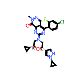 Cn1ncc2c(-c3ccc(Cl)cc3F)nc(N3C[C@@H](C4CC4)O[C@@H](c4cnn(C5CC5)c4)C3)nc2c1=O